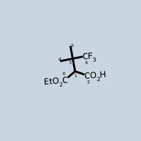 CCOC(=O)C(C(=O)O)C(C)(C)C(F)(F)F